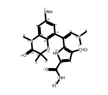 CCNC(=O)c1cc(C=O)c(/C(=C\N(C)C)c2cc(SC)cc3c2OC(C)(C)C(=O)N3C)[nH]1